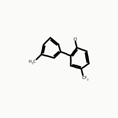 Cc1cc[c]c(-c2cc(C(F)(F)F)ccc2Cl)c1